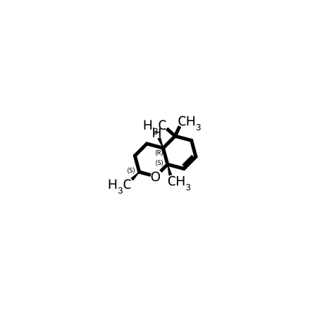 C[C@H]1CC[C@@H]2C(C)(C)CC=C[C@]2(C)O1